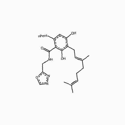 CCCCCc1cc(O)c(C/C=C(\C)CCC=C(C)C)c(O)c1C(=O)NCc1nnco1